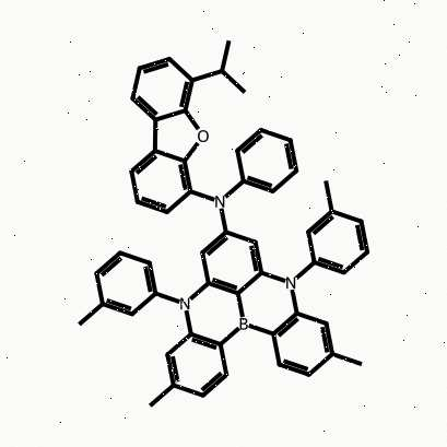 Cc1cccc(N2c3cc(C)ccc3B3c4ccc(C)cc4N(c4cccc(C)c4)c4cc(N(c5ccccc5)c5cccc6c5oc5c(C(C)C)cccc56)cc2c43)c1